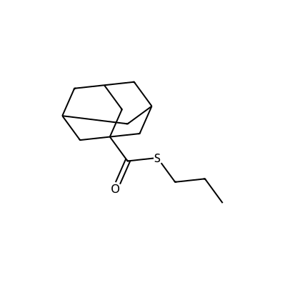 CCCSC(=O)C12CC3CC(CC(C3)C1)C2